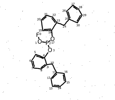 FOP(Oc1ccccc1Cc1ccccc1)Oc1ccccc1Cc1ccccc1